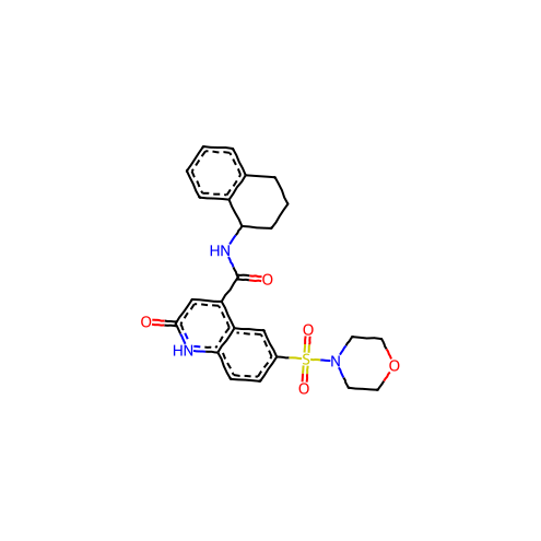 O=C(NC1CCCc2ccccc21)c1cc(=O)[nH]c2ccc(S(=O)(=O)N3CCOCC3)cc12